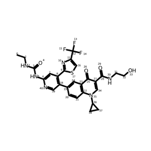 CCNC(=O)Nc1cc(-c2nc(C(F)(F)F)cs2)c(-c2ccc3c(c2)c(=O)c(C(=O)NCCO)cn3C2CC2)cn1